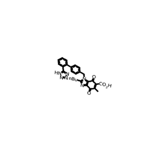 CCCCc1nc2c(n1Cc1ccc(-c3ccccc3-c3nnn[nH]3)cc1)C(=O)C(C(=O)O)=C(C)C2=O